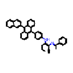 C#CC(/N=C(\C)c1ccccc1)=C(\C=C/C)Nc1ccc(-c2c3ccccc3c(-c3ccc4ccccc4c3)c3ccccc23)cc1